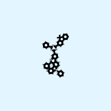 CC1(C)c2ccccc2-c2ccc(-c3nc(-c4ccccc4)nc(-c4ccc5c(c4)nc(-c4ccccc4)c4c5ccc5c4c4ccccc4n5-c4ccccc4)n3)cc21